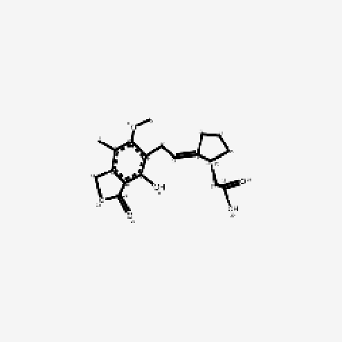 COc1c(C)c2c(c(O)c1CC=C1CCC[C@H]1CC(=O)O)C(=O)OC2